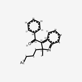 CC(=O)CCCC1(C)N=c2ccccc2=C1C(=O)c1ccccc1